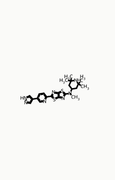 CN(c1nc2sc(-c3ccc(-c4cn[nH]c4)cn3)nc2s1)C1CC(C)(C)NC(C)(C)C1